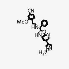 COc1cc(C#N)ccc1CCN[C@H](c1ccccc1)[C@@H]1CNc2cc(-c3cnn(C)c3)cnc2O1